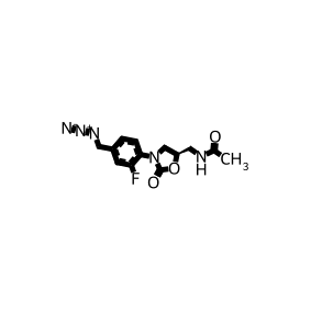 CC(=O)NC[C@@H]1CN(c2ccc(CN=[N+]=[N-])cc2F)C(=O)O1